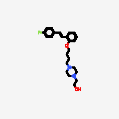 OCCN1CCN(CCCCOc2ccccc2C=Cc2ccc(F)cc2)CC1